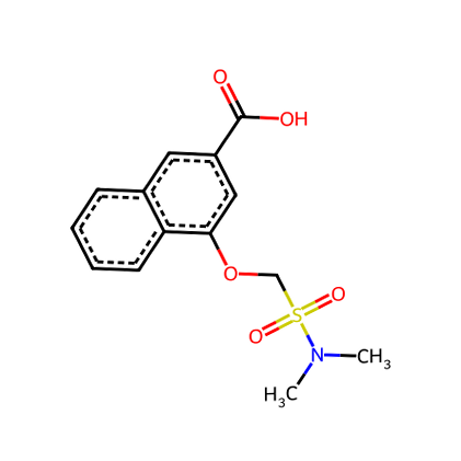 CN(C)S(=O)(=O)COc1cc(C(=O)O)cc2ccccc12